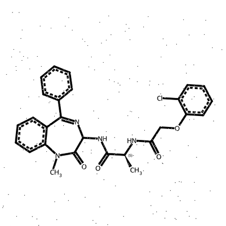 C[C@H](NC(=O)COc1ccccc1Cl)C(=O)NC1N=C(c2ccccc2)c2ccccc2N(C)C1=O